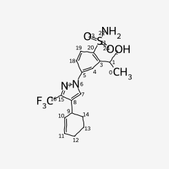 CC(O)c1cc(-n2cc(C3C=CCCC3)c(C(F)(F)F)n2)ccc1S(N)(=O)=O